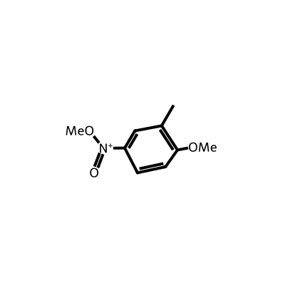 COc1ccc([N+](=O)OC)cc1C